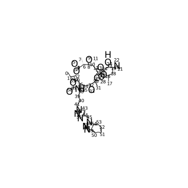 CCC1OC(=O)[C@H](C)C(=O)[C@H](C)[C@@H](OC2OC(C)CC(N(C)C)C2O)[C@@](C)(OC)C[C@@H](C)C(=O)[C@H](C)[C@H]2N(CCCCn3cc(Cn4nnc5ccccc54)nn3)C(=O)O[C@]12C